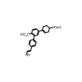 CCC/C=C/c1ccc(-c2cc(C3=CCC(CCCCC)CC3)ccc2C(=O)O)cc1